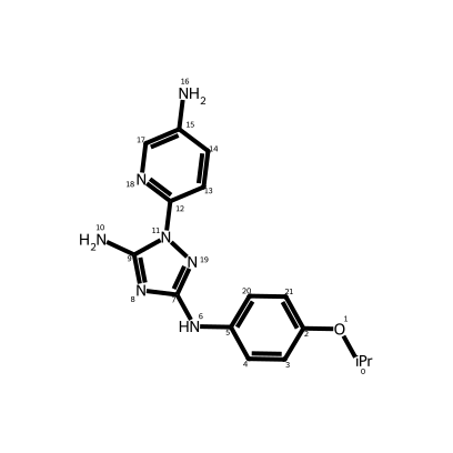 CC(C)Oc1ccc(Nc2nc(N)n(-c3ccc(N)cn3)n2)cc1